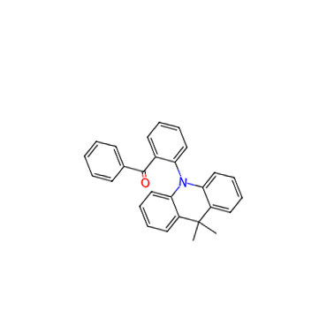 CC1(C)c2ccccc2N(c2ccccc2C(=O)c2ccccc2)c2ccccc21